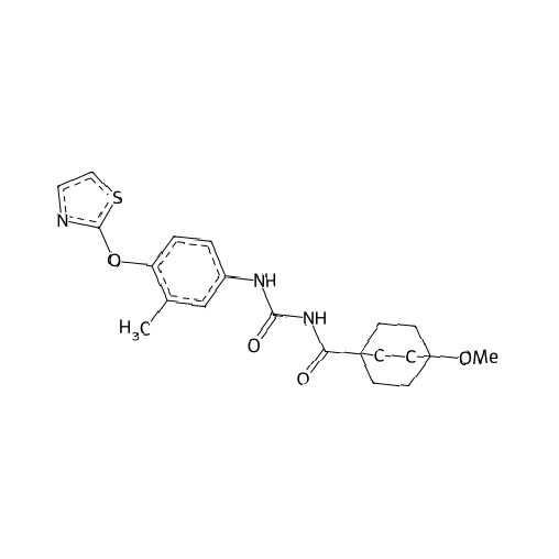 COC12CCC(C(=O)NC(=O)Nc3ccc(Oc4nccs4)c(C)c3)(CC1)CC2